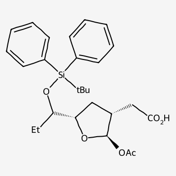 CCC(O[Si](c1ccccc1)(c1ccccc1)C(C)(C)C)[C@@H]1C[C@H](CC(=O)O)[C@@H](OC(C)=O)O1